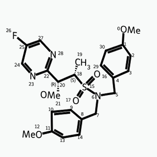 COc1ccc(CN(Cc2ccc(OC)cc2)S(=O)(=O)[C@@H](C)[C@H](OC)c2ncc(F)cn2)cc1